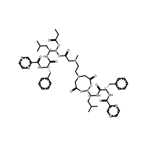 CCC(=O)OB(OC(=O)CN(C)CCN1CC(=O)OB([C@H](CC(C)C)NC(=O)[C@H](Cc2ccccc2)NC(=O)c2cnccn2)OC(=O)C1)[C@H](CC(C)C)NC(=O)[C@H](Cc1ccccc1)NC(=O)c1cnccn1